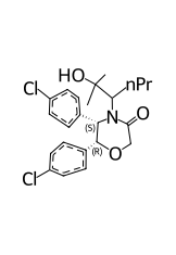 CCCC(N1C(=O)CO[C@H](c2ccc(Cl)cc2)[C@@H]1c1ccc(Cl)cc1)C(C)(C)O